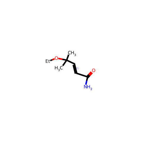 CCOC(C)(C)/C=C/C(N)=O